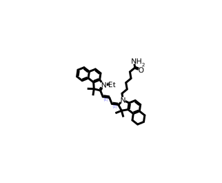 CC[N+]1=C(/C=C/C=C2\N(CCCCCC(N)=O)c3ccc4c(c3C2(C)C)CCCC4)C(C)(C)c2c1ccc1ccccc21